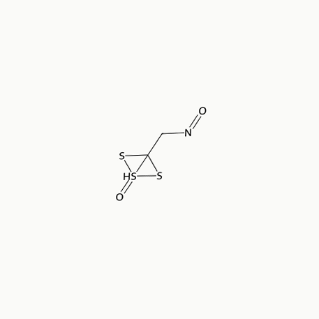 O=NCC12S[SH]1(=O)S2